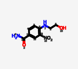 NC(=O)c1ccc(NCCO)c([N+](=O)[O-])c1